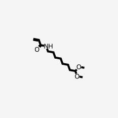 C=CC(=O)NCCCCCCCC(OC)OC